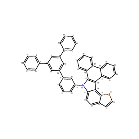 c1ccc(-c2cc(-c3ccccc3)cc(-c3cccc(-n4c5ccc6ccsc6c5c5c6ccccc6c6ccccc6c54)c3)c2)cc1